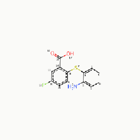 C/C=C(N)\C(=C/C)Sc1ccc(F)cc1C(=O)O